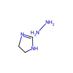 C1=NCCN1.NN